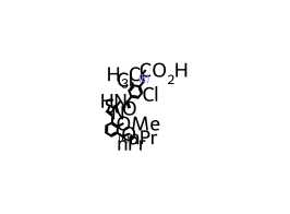 CCCO[C@@H](CCC)c1cccc(-c2csc(NC(=O)c3cc(Cl)c(/C=C(\C)C(=O)O)c(Cl)c3)n2)c1OC